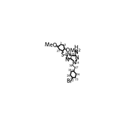 COc1ccc(OC)c(Sc2nc3c(N)ncn(CCc4ccc(Br)cc4)c-3n2)c1